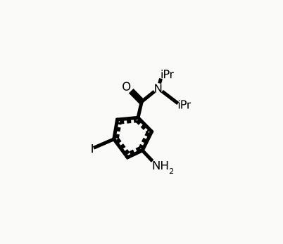 CC(C)N(C(=O)c1cc(N)cc(I)c1)C(C)C